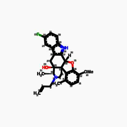 C=CCN1CC[C@]23c4c(C)ccc(OC)c4O[C@H]2c2[nH]c4ccc(F)cc4c2C[C@@]3(O)[C@H]1C